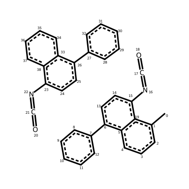 Cc1cccc2c(-c3ccccc3)ccc(N=C=O)c12.O=C=Nc1ccc(-c2ccccc2)c2ccccc12